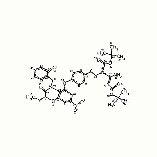 CCC1Oc2cc([N+](=O)[O-])cc(Oc3ccc(CCN(C(=O)OC(C)(C)C)C(N)=NC(=O)OC(C)(C)C)cc3)c2N(Cc2ccccc2Cl)C1=O